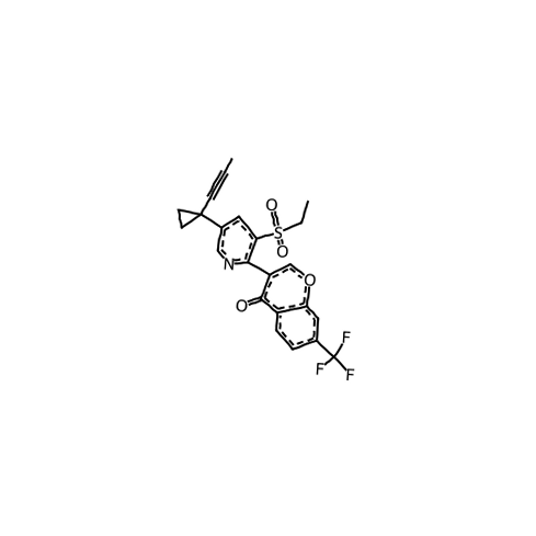 CC#CC1(c2cnc(-c3coc4cc(C(F)(F)F)ccc4c3=O)c(S(=O)(=O)CC)c2)CC1